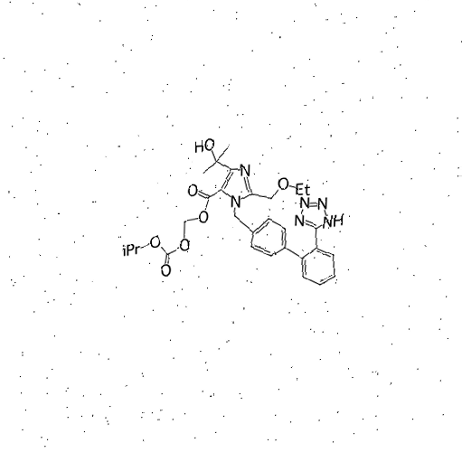 CCOCc1nc(C(C)(C)O)c(C(=O)OCOC(=O)OC(C)C)n1Cc1ccc(-c2ccccc2-c2nnn[nH]2)cc1